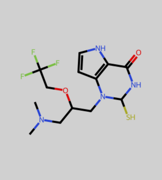 CN(C)CC(CN1c2cc[nH]c2C(=O)NC1S)OCC(F)(F)F